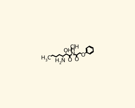 CCCC[C@@H](N)[C@H](O)C(=O)NC(=O)COc1ccccc1.Cl